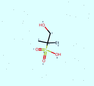 CCC(C)(CO)S(=O)(=O)O